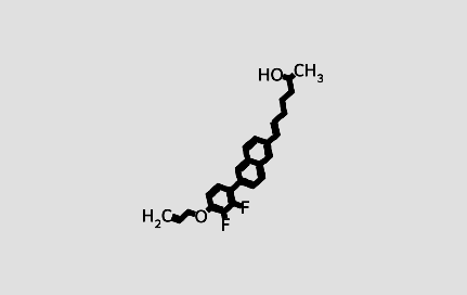 C=CCOc1ccc(-c2ccc3cc(/C=C/CCCC(C)O)ccc3c2)c(F)c1F